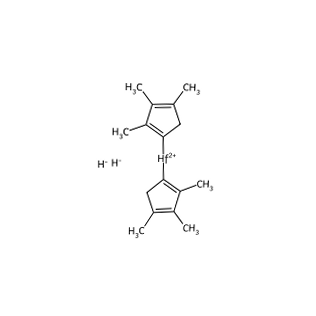 CC1=C(C)C(C)=[C]([Hf+2][C]2=C(C)C(C)=C(C)C2)C1.[H-].[H-]